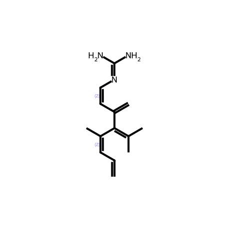 C=C/C=C(/C)C(C(=C)/C=C\N=C(N)N)=C(C)C